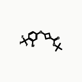 CC(C)(C)OC(=O)N1CC(Oc2ccc(C(F)(F)F)c(Br)c2)C1